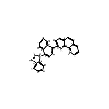 c1cnc2c(c1)ccc1ccc(-c3ccc(-n4nnc5ccccc54)c4ccccc34)nc12